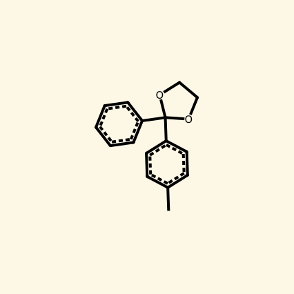 Cc1ccc(C2(c3ccccc3)OCCO2)cc1